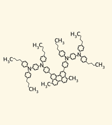 CCCCc1ccc(N(c2ccc(CCCC)cc2)c2ccc(N(c3ccc(CCCC)cc3)c3ccc(-c4cc5c(C)ccc6c7ccc(C)c8cc(-c9ccc(N(c%10ccc(CCCC)cc%10)c%10ccc(N(c%11ccc(CCCC)cc%11)c%11ccc(CCCC)cc%11)cc%10)cc9)cc(c(c4)c56)c87)cc3)cc2)cc1